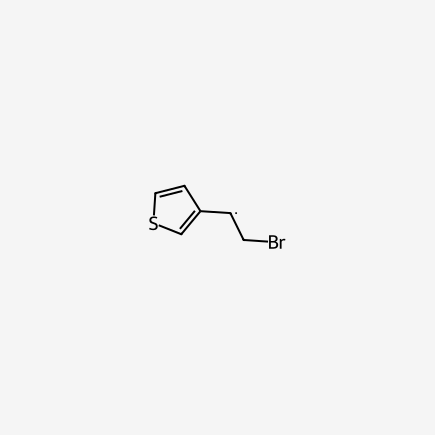 BrC[CH]c1ccsc1